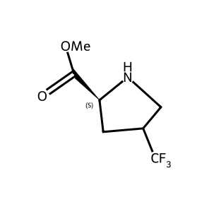 COC(=O)[C@@H]1CC(C(F)(F)F)CN1